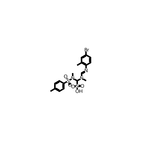 Cc1ccc(S(=O)(=O)N(C)C(N(C)C=Nc2ccc(Br)cc2C)S(=O)(=O)O)cc1